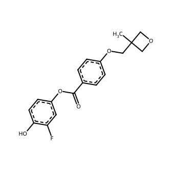 CC1(COc2ccc(C(=O)Oc3ccc(O)c(F)c3)cc2)COC1